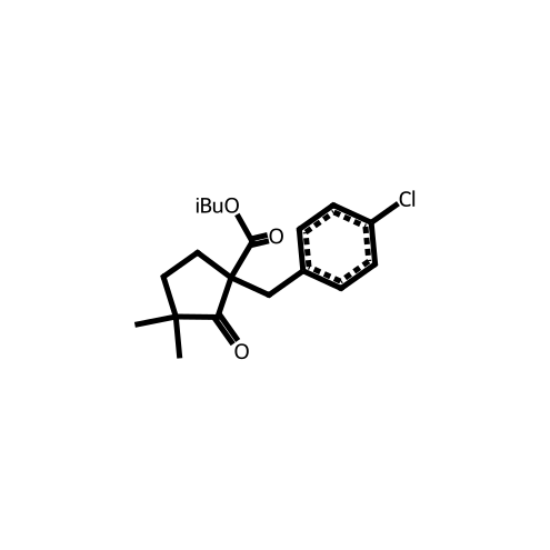 CC(C)COC(=O)C1(Cc2ccc(Cl)cc2)CCC(C)(C)C1=O